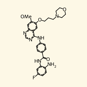 COc1cc2ncnc(Nc3ccc(C(=O)Nc4cc(F)ccc4N)cc3)c2cc1OCCCN1CCOCC1